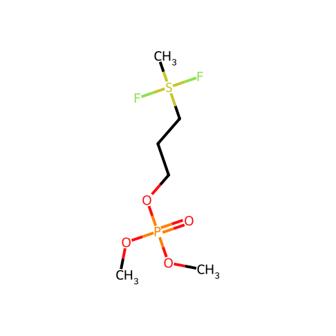 COP(=O)(OC)OCCCS(C)(F)F